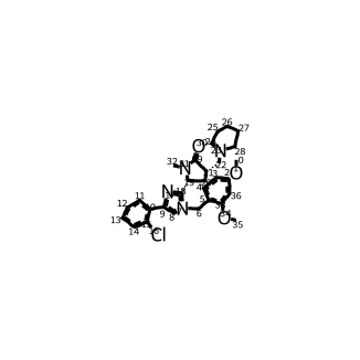 COc1ccc(Cn2cc(-c3ccccc3Cl)nc2[C@H]2C[C@@H](CN3CCCCC3)C(=O)N2C)c(OC)c1